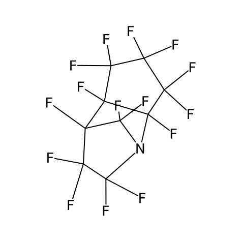 FC1(F)N2C(F)(F)C(F)(C1(F)F)C1(F)C(F)(F)C(F)(F)C(F)(F)C21F